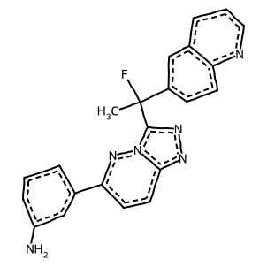 CC(F)(c1ccc2ncccc2c1)c1nnc2ccc(-c3cccc(N)c3)nn12